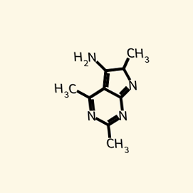 Cc1nc(C)c2c(n1)=NC(C)C=2N